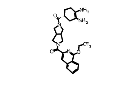 NC1=C(N)C[C@H](C(=O)N2CC3CN(C(=O)c4cc5ccccc5c(OCC(F)(F)F)n4)CC3C2)CC1